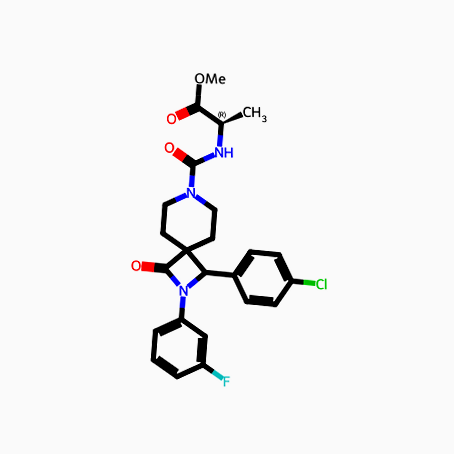 COC(=O)[C@@H](C)NC(=O)N1CCC2(CC1)C(=O)N(c1cccc(F)c1)C2c1ccc(Cl)cc1